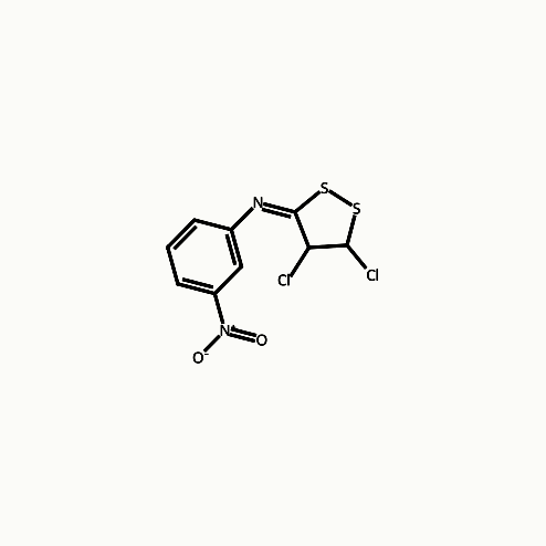 O=[N+]([O-])c1cccc(N=C2SSC(Cl)C2Cl)c1